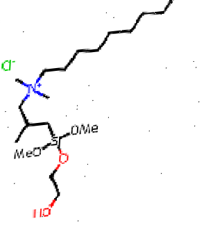 CCCCCCCCCCCCCCCCCC[N+](C)(C)CC(C)C[Si](OC)(OC)OCCO.[Cl-]